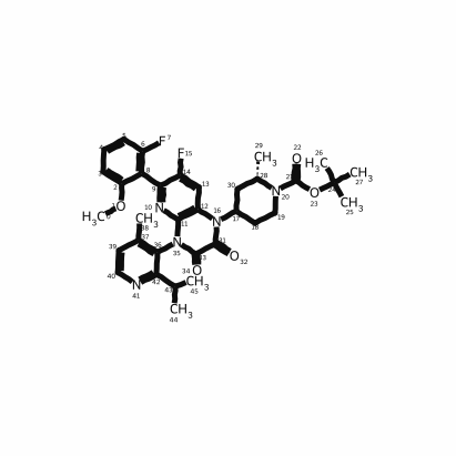 COc1cccc(F)c1-c1nc2c(cc1F)n(C1CCN(C(=O)OC(C)(C)C)[C@@H](C)C1)c(=O)c(=O)n2-c1c(C)ccnc1C(C)C